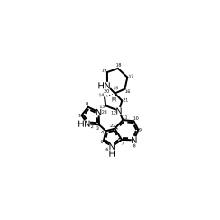 c1c[nH]c(-c2c[nH]c3nccc(N4CC[C@]5(CCCCN5)C4)c23)n1